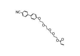 C=CC(=O)OCCOCOCCOCCOc1ccc(-c2ccc(C#N)cc2)cc1